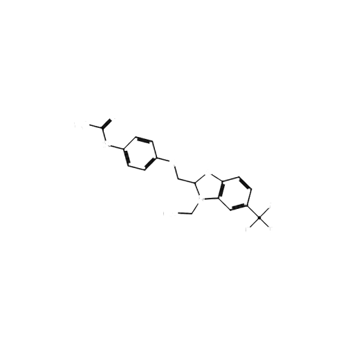 CCN1c2cc(C(F)(F)F)ccc2SC1COc1ccc(NC(C)=O)cc1